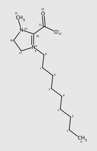 CCCCCCCCC[N+]1=C(C(=O)[O-])N(C)CC1